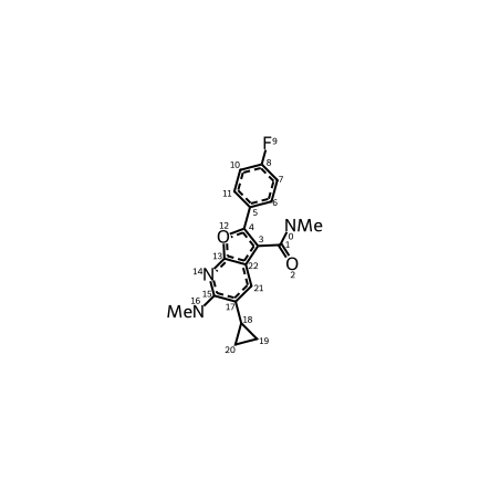 CNC(=O)c1c(-c2ccc(F)cc2)oc2nc(NC)c(C3CC3)cc12